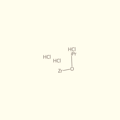 CC(C)[O][Zr].Cl.Cl.Cl